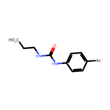 CC(=O)c1ccc(NC(=O)NCCC(=O)O)cc1